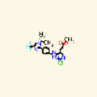 COC(=O)/C=C/c1cnc(Cl)nc1NCc1ccc(-c2nc(C(F)(F)F)cn2C(C)C)cc1